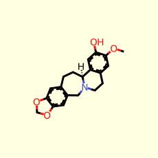 COc1cc2c(cc1O)[C@@H]1CCc3cc4c(cc3CN1CC2)OCO4